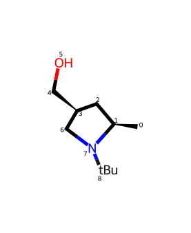 C[C@@H]1C[C@H](CO)CN1C(C)(C)C